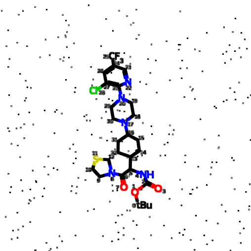 CC(C)(C)OC(=O)NC(C(=O)N1CCSC1)C1CCC(N2CCN(c3ncc(C(F)(F)F)cc3Cl)CC2)CC1